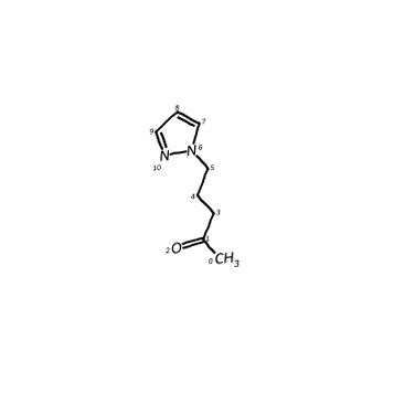 CC(=O)CCCn1cccn1